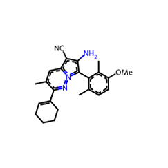 COc1ccc(C)c(-c2c(N)c(C#N)c3cc(C)c(C4=CCCCC4)nn23)c1C